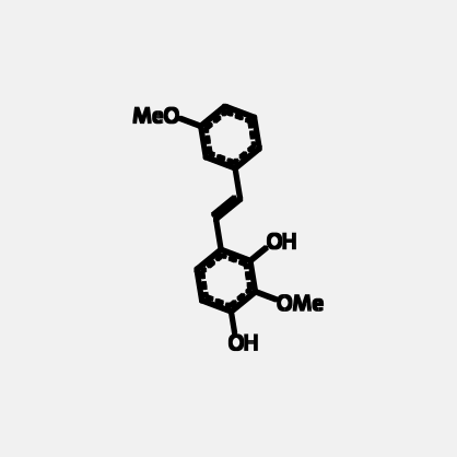 COc1cccc(C=Cc2ccc(O)c(OC)c2O)c1